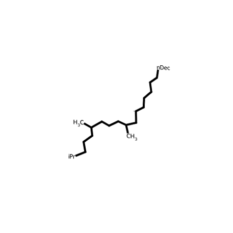 CCCCCCCCCCCCCCC[CH]CC(C)CCCC(C)CCCC(C)C